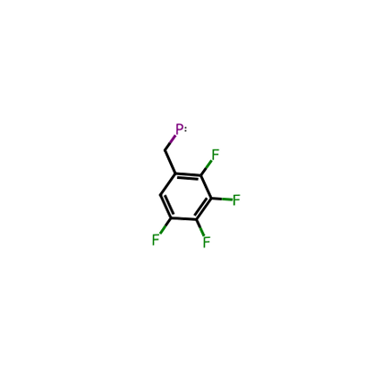 Fc1cc(C[P])c(F)c(F)c1F